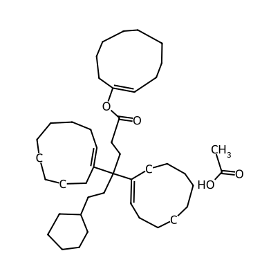 CC(=O)O.O=C(CCC(CCC1CCCCC1)(C1=CCCCCCCCC1)C1=CCCCCCCCC1)OC1=CCCCCCCCC1